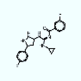 O=C(/N=C(/NC1CC1)NC1CC(c2ccc(F)cc2)NN1)c1cccc(F)c1